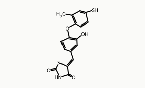 Cc1cc(S)ccc1Oc1ccc(/C=C2\SC(=O)NC2=O)cc1O